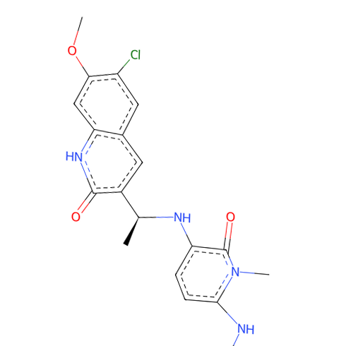 CNc1ccc(N[C@@H](C)c2cc3cc(Cl)c(OC)cc3[nH]c2=O)c(=O)n1C